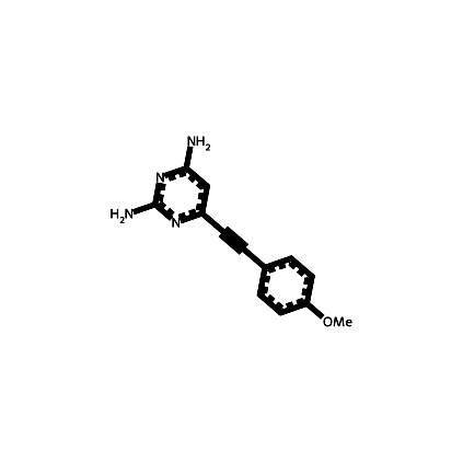 COc1ccc(C#Cc2cc(N)nc(N)n2)cc1